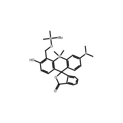 CN(C)c1ccc2c(c1)[Si](C)(C)c1c(ccc(O)c1CO[Si](C)(C)C(C)(C)C)C21OC(=O)c2ccccc21